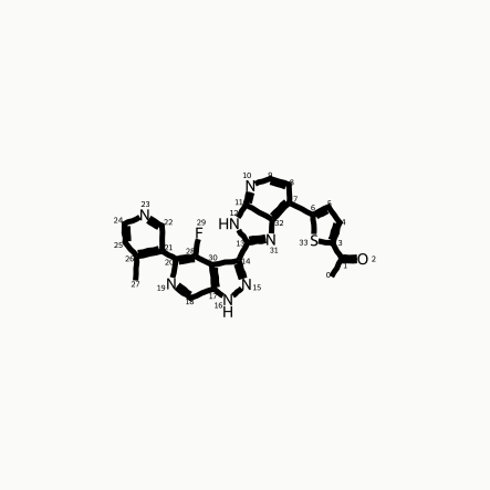 CC(=O)c1ccc(-c2ccnc3[nH]c(-c4n[nH]c5cnc(-c6cnccc6C)c(F)c45)nc23)s1